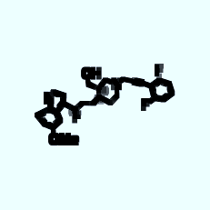 COc1ccc2nccc([C@H](F)CC[C@@H]3CCN(CC#Cc4c(F)cccc4F)C[C@@H]3CO)c2c1